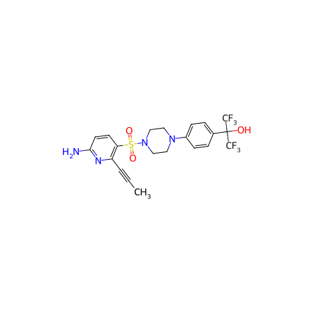 CC#Cc1nc(N)ccc1S(=O)(=O)N1CCN(c2ccc(C(O)(C(F)(F)F)C(F)(F)F)cc2)CC1